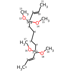 CC=C[Si](CCCC[Si](C=CC)(OC)OC)(OC)OC